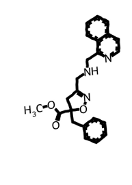 COC(=O)C1(Cc2ccccc2)CC(CNCc2nccc3ccccc23)=NO1